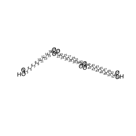 O=C(O)CCCCCCCCCCCCCCC(=O)OC(=O)CCCCCCCCCCCCC(=O)OC(=O)CCCCCCCCCCCCCCC(=O)O